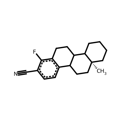 C[C@@]12CCCCC1C1CCc3c(ccc(C#N)c3F)C1CC2